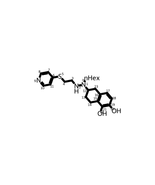 CCCCCCN(NCCSc1ccncc1)C1CCc2c(ccc(O)c2O)C1